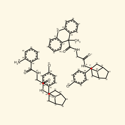 CC1(C(=O)NCC(=O)NC2CC3CCC(C2)N3Cc2ccc(Cl)cc2)c2ccccc2Oc2ccccc21.Nc1ccccc1C(=O)NCC(=O)NC1CC2CCC(C1)N2Cc1ccc(Cl)cc1